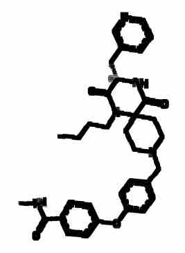 CCCCN1C(=O)[C@H](Cc2cccnc2)NC(=O)C12CCN(Cc1ccc(Oc3ccc(C(=O)NC)cc3)cc1)CC2